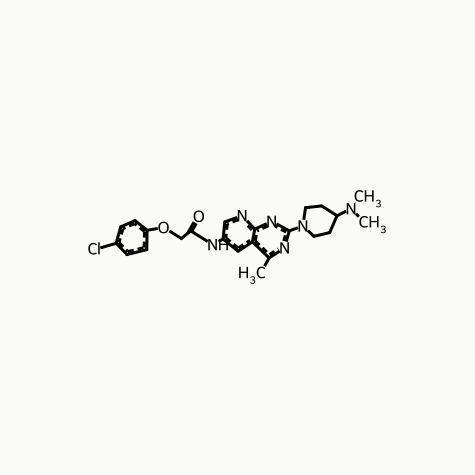 Cc1nc(N2CCC(N(C)C)CC2)nc2ncc(NC(=O)COc3ccc(Cl)cc3)cc12